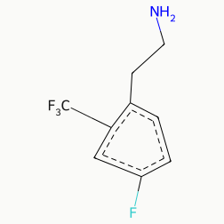 NCCc1ccc(F)cc1C(F)(F)F